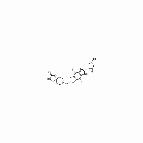 O=C1NCC2(CCN(CC3Cc4c(c(F)c5[nH]c([C@@H]6C[C@@H](O)CN6)nc5c4F)C3)CC2)O1